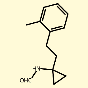 Cc1ccccc1CCC1(NC=O)CC1